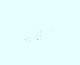 COc1cc2c(Oc3cnc4[nH]c(C)cc4c3)ncnc2cc1OCCC(=O)N1CCCOCCC1